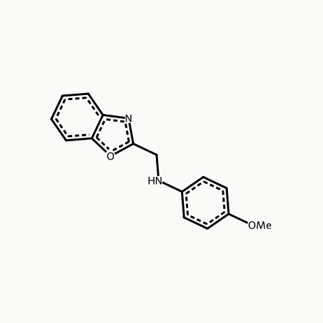 COc1ccc(NCc2nc3ccccc3o2)cc1